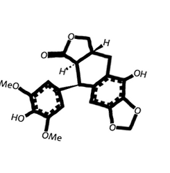 COc1cc([C@@H]2c3cc4c(c(O)c3C[C@H]3COC(=O)[C@@H]32)OCO4)cc(OC)c1O